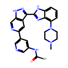 CC(C)C(=O)Nc1cncc(-c2cc3c(-c4nc5c(N6CCN(C)CC6)cccc5[nH]4)n[nH]c3cn2)c1